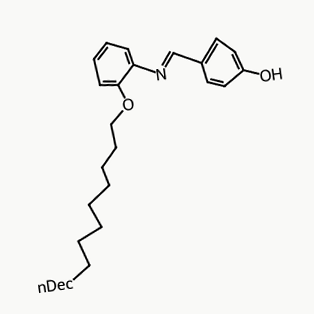 CCCCCCCCCCCCCCCCCCOc1ccccc1N=Cc1ccc(O)cc1